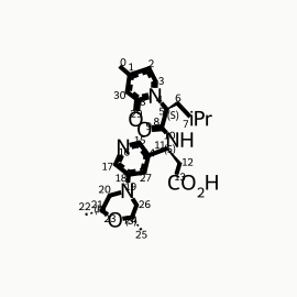 Cc1ccn([C@@H](CC(C)C)C(=O)N[C@@H](CC(=O)O)c2cncc(N3C[C@@H](C)O[C@@H](C)C3)c2)c(=O)c1